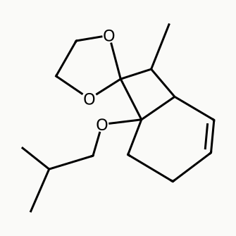 CC(C)COC12CCC=CC1C(C)C21OCCO1